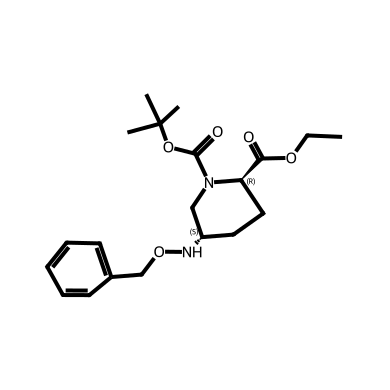 CCOC(=O)[C@H]1CC[C@H](NOCc2ccccc2)CN1C(=O)OC(C)(C)C